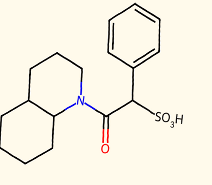 O=C(C(c1ccccc1)S(=O)(=O)O)N1CCCC2CCCCC21